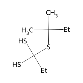 CCC(C)(C)SC(S)(S)CC